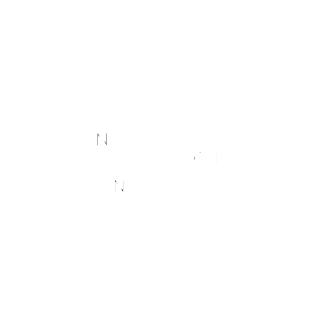 C=Cc1cncnc1